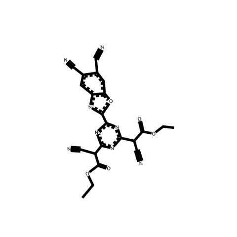 CCOC(=O)C(C#N)c1nc(-c2nc3cc(C#N)c(C#N)cc3o2)nc(C(C#N)C(=O)OCC)n1